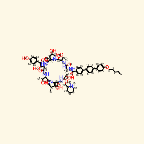 CCCCCOc1ccc(-c2ccc(-c3ccc(C(=O)N[C@H]4C[C@@H](O)[C@@H](OCC5CCCC[N+]5(C)C)NC(=O)[C@@H]5[C@@H](O)[C@@H](C)CN5C(=O)[C@H]([C@@H](C)O)NC(=O)[C@H]([C@H](O)[C@@H](O)c5ccc(O)cc5)NC(=O)[C@@H]5C[C@@H](O)CN5C(=O)[C@H]([C@@H](C)O)NC4=O)cc3)cc2)cc1